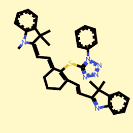 CN1/C(=C/C=C2\CCCC(/C=C/C3=Nc4ccccc4C3(C)C)=C2Sc2nnnn2-c2ccccc2)C(C)(C)c2ccccc21